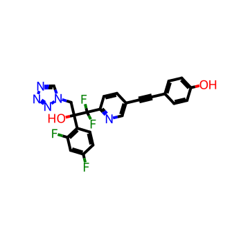 Oc1ccc(C#Cc2ccc(C(F)(F)C(O)(Cn3cnnn3)c3ccc(F)cc3F)nc2)cc1